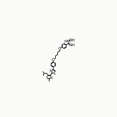 Cc1nc(-c2nc(-c3ccc(OCCCCCOc4ccc(C(=N)NO)cc4)cc3)cs2)c(CC(C)C)s1